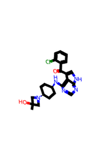 CC1(O)CN([C@H]2CC[C@H](Nc3ncnc4[nH]cc(C(=O)c5ccccc5Cl)c34)CC2)C1